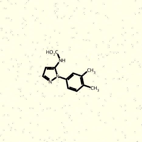 Cc1ccc(-n2nccc2NC(=O)O)cc1C